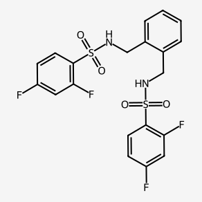 O=S(=O)(NCc1ccccc1CNS(=O)(=O)c1ccc(F)cc1F)c1ccc(F)cc1F